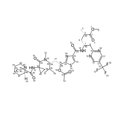 COC(=O)[C@@H](C)C[C@H](Cc1ncc(C(F)(F)F)cn1)NC(=O)c1csc([C@@H](C[C@H](C(C)C)N(C)C(=O)C2(NC(=O)[C@H]3CC4CCN3CC4)CC2)OC(C)=O)n1